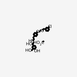 CC(=O)O.OCc1cc([C@@H](O)CNCCc2ccc(OCCOCc3cccc(Cl)c3)cc2)ccc1O